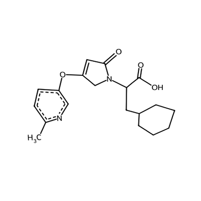 Cc1ccc(OC2=CC(=O)N(C(CC3CCCCC3)C(=O)O)C2)cn1